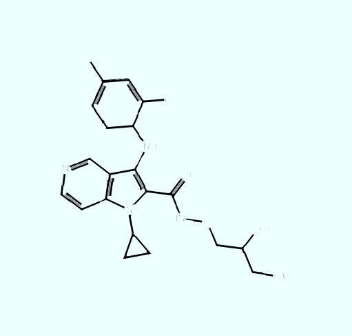 O=C(NOCC(O)CO)c1c(NC2CC=C(I)C=C2F)c2cnccc2n1C1CC1